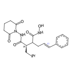 CC(C)C[C@@H](C(=O)NN1C(=O)CCCC1=O)C(C/C=C/c1ccccc1)C(=O)NO